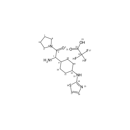 NC(C(=O)N1CCCC1)C1CCC(Nc2nccs2)CC1.O=C(O)C(F)(F)F